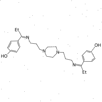 CC/C(=N/CCCN1CCN(CCC/N=C(/CC)c2ccc(O)cc2)CC1)c1ccc(O)cc1